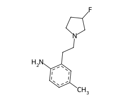 Cc1ccc(N)c(CCN2CCC(F)C2)c1